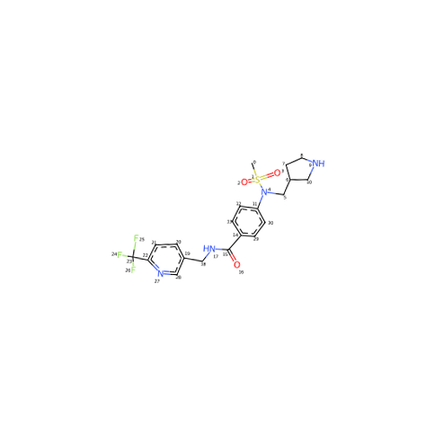 CS(=O)(=O)N(CC1CCNC1)c1ccc(C(=O)NCc2ccc(C(F)(F)F)nc2)cc1